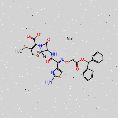 CSC1=C(C(=O)[O-])N2C(=O)C(NC(=O)C(=NOCC(=O)OC(c3ccccc3)c3ccccc3)c3csc(N)n3)[C@@H]2SC1.[Na+]